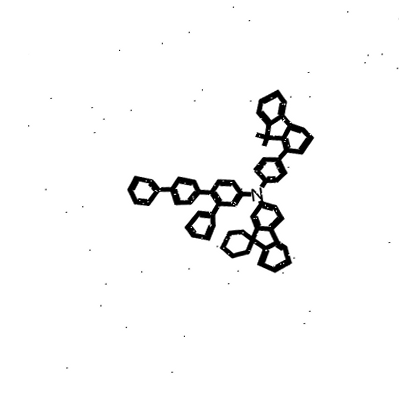 CC1(C)c2ccccc2-c2cccc(-c3ccc(N(c4ccc(-c5ccc(-c6ccccc6)cc5)c(-c5ccccc5)c4)c4ccc5c(c4)C4(CCCCC4)c4ccccc4-5)cc3)c21